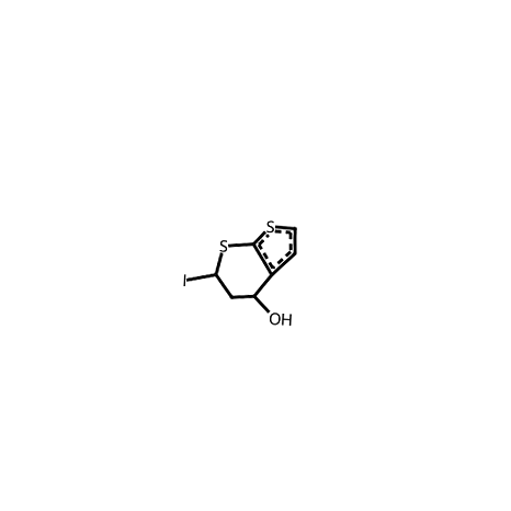 OC1CC(I)Sc2sccc21